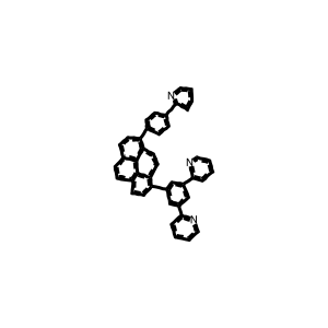 c1ccc(-c2ccc(-c3ccc4ccc5ccc(-c6cc(-c7ccccn7)cc(-c7ccccn7)c6)c6ccc3c4c56)cc2)nc1